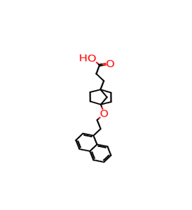 O=C(O)CCC12CCC(OCCc3cccc4ccccc34)(CC1)C2